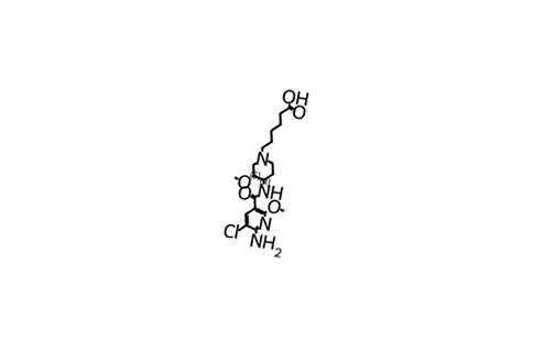 COc1nc(N)c(Cl)cc1C(=O)N[C@@H]1CCN(CCCCCC(=O)O)C[C@@H]1OC